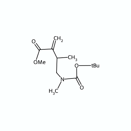 C=C(C(=O)OC)C(C)CN(C)C(=O)OC(C)(C)C